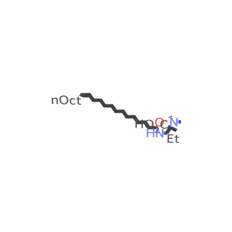 CCCCCCCC/C=C\CCCCCCCCCCCC(=O)NC(CC)C(C)(C(=O)O)N(C)C